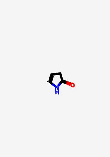 O=C1CC=[C]N1